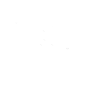 CC#CCN(CCOC)c1c2c(nc3c(-c4ccc(OC)cc4Cl)c(C)nn13)COC2